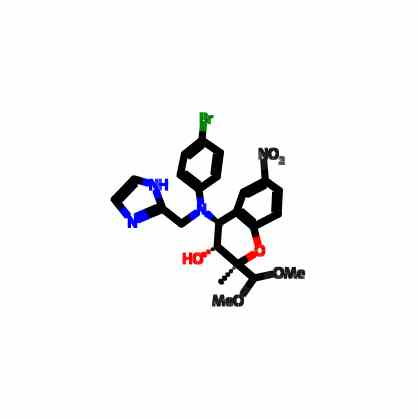 COC(OC)[C@]1(C)Oc2ccc([N+](=O)[O-])cc2[C@H](N(Cc2ncc[nH]2)c2ccc(Br)cc2)[C@H]1O